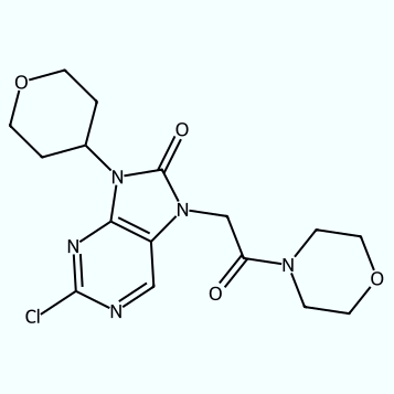 O=C(Cn1c(=O)n(C2CCOCC2)c2nc(Cl)ncc21)N1CCOCC1